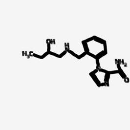 CCC(O)CNCc1ccccc1-n1c[c]nc1C(N)=O